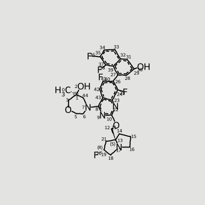 C[C@@]1(O)COCCN(c2nc(OC[C@@]34CCCN3C[C@H](F)C4)nc3c(F)c(-c4cc(O)cc5ccc(F)c(F)c45)c(F)cc23)C1